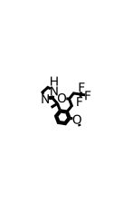 COc1cccc2c1CC(CC(F)(F)F)OC2(C)C1=NCCN1